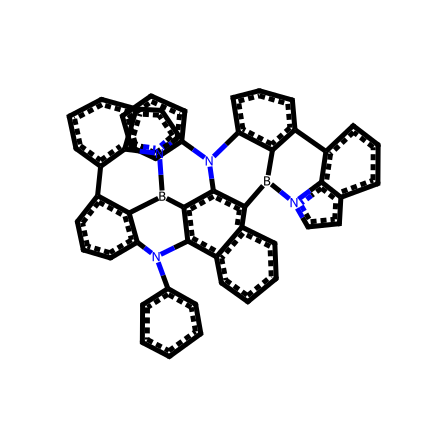 c1ccc(N2c3cccc4c3B(c3c2c2c(c5ccccc35)N(c3ccccc3)c3cccc5c3B2n2ccc3cccc-5c32)n2ccc3cccc-4c32)cc1